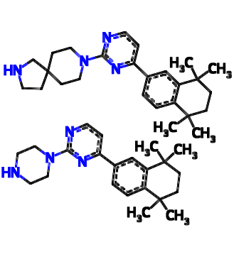 CC1(C)CCC(C)(C)c2cc(-c3ccnc(N4CCC5(CCNC5)CC4)n3)ccc21.CC1(C)CCC(C)(C)c2cc(-c3ccnc(N4CCNCC4)n3)ccc21